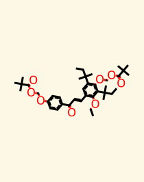 CCOc1c(C=CC(=O)c2ccc(OCOC(=O)C(C)(C)C)cc2)cc(C(C)(C)CC)c(OCOC(=O)C(C)(C)C)c1C(C)(C)CC